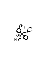 C=CCC(CCN1CCCCC1)(c1ccccc1)c1cc(C)ccc1O